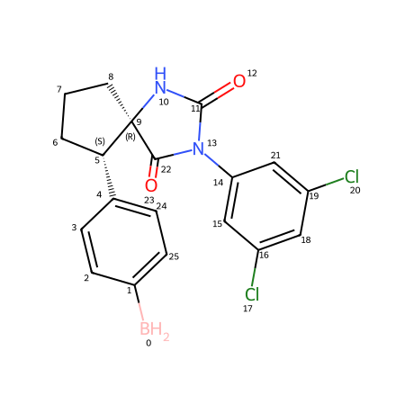 Bc1ccc([C@@H]2CCC[C@@]23NC(=O)N(c2cc(Cl)cc(Cl)c2)C3=O)cc1